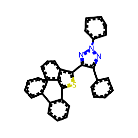 c1ccc(-c2ccccc2-c2sc(-c3nn(-c4ccccc4)nc3-c3ccccc3)c3ccccc23)cc1